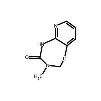 CN1CCc2cccnc2NC1=O